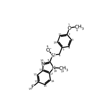 COc1ccc(C[S+]([O-])c2nc3cc(F)ccc3n2C)cc1